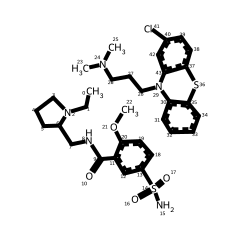 CCN1CCCC1CNC(=O)c1cc(S(N)(=O)=O)ccc1OC.CN(C)CCCN1c2ccccc2Sc2ccc(Cl)cc21